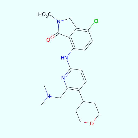 CN(C)Cc1nc(Nc2ccc(Cl)c3c2C(=O)N(C(=O)O)C3)ccc1C1CCOCC1